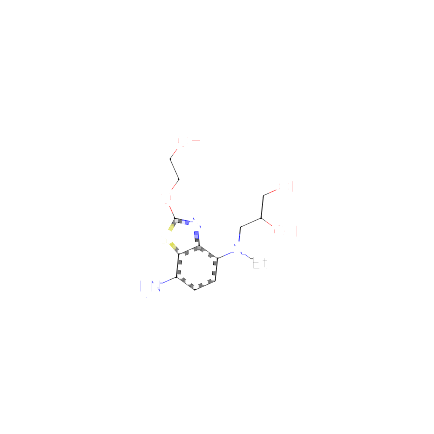 CCN(CC(O)CO)c1ccc(N)c2sc(OCCO)nc12